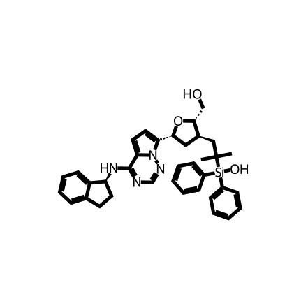 CC(C)(C[C@H]1C[C@H](c2ccc3c(N[C@H]4CCc5ccccc54)ncnn23)O[C@@H]1CO)[Si](O)(c1ccccc1)c1ccccc1